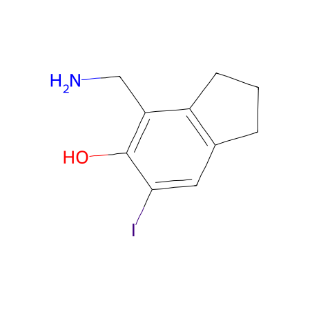 NCc1c(O)c(I)cc2c1CCC2